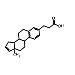 C[C@@]12C=CCC1C1CCc3cc(CCC(=O)O)ccc3C1CC2